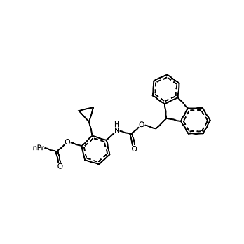 CCCC(=O)Oc1cccc(NC(=O)OCC2c3ccccc3-c3ccccc32)c1C1CC1